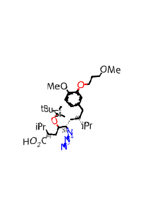 COCCCOc1cc(C[C@@H](C[C@H](N=[N+]=[N-])C(C[C@H](C(=O)O)C(C)C)O[Si](C)(C)C(C)(C)C)C(C)C)ccc1OC